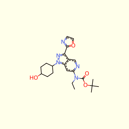 CCN(C(=O)OC(C)(C)C)c1cc2c(cn1)c(-c1ncco1)nn2C1CCC(O)CC1